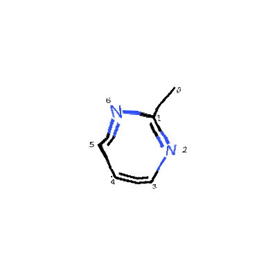 Cc1nc[c]cn1